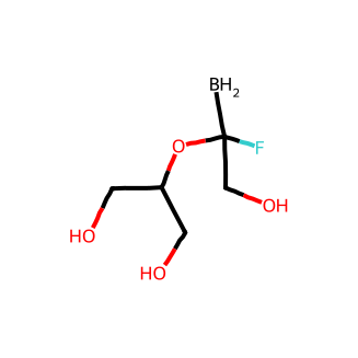 BC(F)(CO)OC(CO)CO